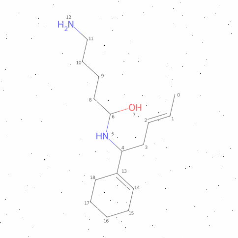 C/C=C/CC(NC(O)CCCCN)C1=CCCCC1